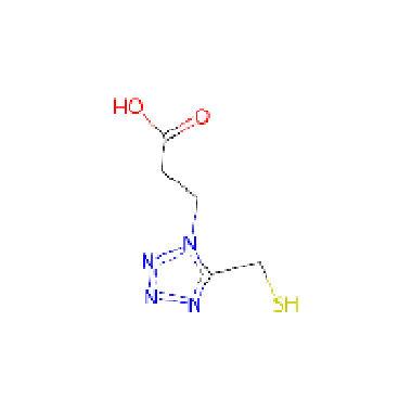 O=C(O)CCn1nnnc1CS